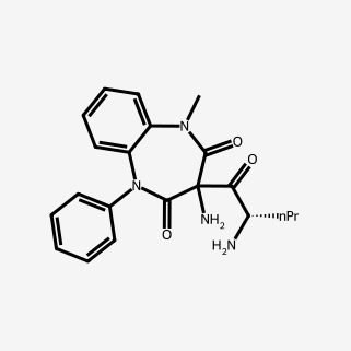 CCC[C@H](N)C(=O)C1(N)C(=O)N(C)c2ccccc2N(c2ccccc2)C1=O